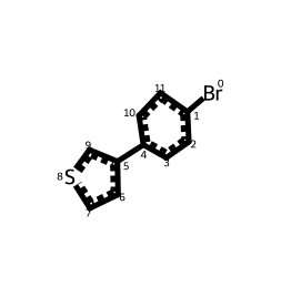 Brc1ccc(-c2ccsc2)cc1